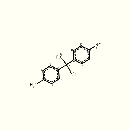 [C-]#[N+]c1ccc(C(c2ccc(C)cc2)(C(F)(F)F)C(F)(F)F)cc1